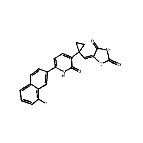 O=C1NC(=O)/C(=C\C2(c3ccc(-c4ccc5cccc(F)c5c4)[nH]c3=O)CC2)O1